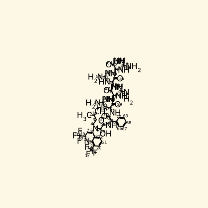 CC(C)CCN(c1cc(C(F)(F)F)nc2c(C(F)(F)F)cccc12)C(O)C(=O)NC(C(=O)NC(NC(=N)N)C(=O)NC(NC(=N)N)C(=O)NC(NC(=N)N)C(=O)NC(NC(=N)N)C(N)=O)c1ccccc1